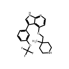 CC1(COc2ccnc3[nH]cc(-c4cccc(OC(F)(F)F)c4)c23)CCNCC1